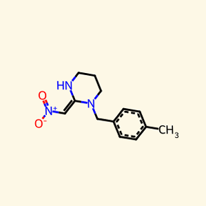 Cc1ccc(CN2CCCNC2=C[N+](=O)[O-])cc1